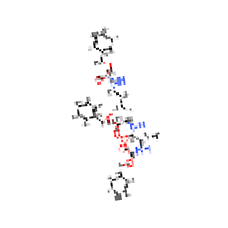 CC(C)[C@H](NC(=O)OCc1ccccc1)C(=O)N[C@@H](CCCCNC(=O)OCc1ccccc1)C(=O)OCc1ccccc1